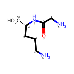 NCCC[C@@H](NC(=O)CN)C(=O)O